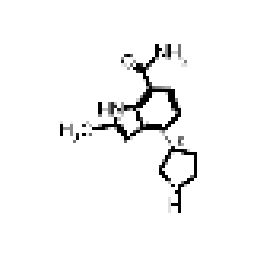 Cc1cc2c([C@@H]3CCNC3)ccc(C(N)=O)c2[nH]1